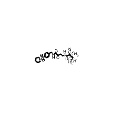 CC(C)(CO)C(O)C(=O)NCCC(=O)C(=O)NCc1ccc(S(=O)(=O)N2CCCCC2)cc1